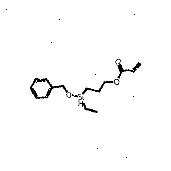 C=CC(=O)OCCC[SiH](CC)OCc1ccccc1